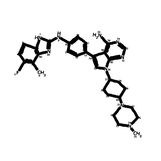 Cc1c(F)ccc2[nH]c(Nc3ccc(-c4cn(C5CCC(N6CCN(C)CC6)CC5)c5ncnc(N)c45)cc3)nc12